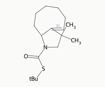 CC(C)(C)SC(=O)N1CC(C)(C)/C2=C\CCCCCC21